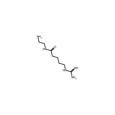 N=C(N)NCCCCC(=O)NCCN